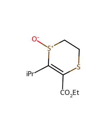 CCOC(=O)C1=C(C(C)C)[S+]([O-])CCS1